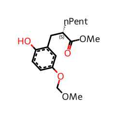 CCCCC[C@@H](Cc1cc(OCOC)ccc1O)C(=O)OC